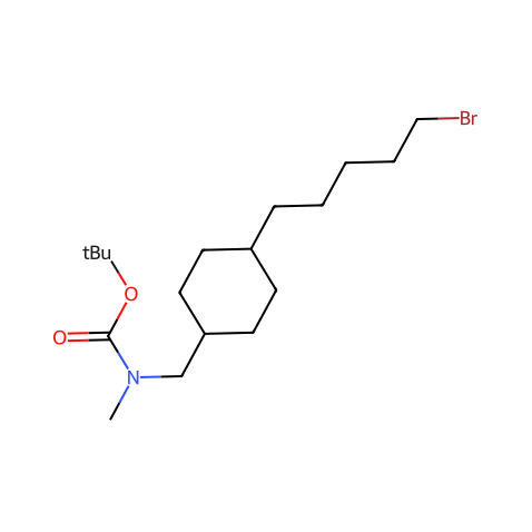 CN(CC1CCC(CCCCCBr)CC1)C(=O)OC(C)(C)C